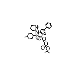 CC1CCC(C(=O)N(c2cc(-c3ccccc3)sc2C(=O)OCOC(=O)OC(C)C)C2CCCCN2C)CC1